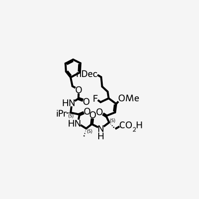 CCCCCCCCCCCCCC(CF)C(=CC(=O)[C@H](CC(=O)O)NC(=O)[C@H](C)NC(=O)[C@@H](NC(=O)OCc1ccccc1)C(C)C)OC